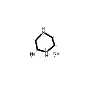 C1CNCCN1.[Na].[Na]